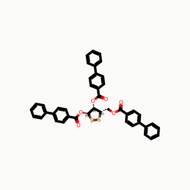 O=C(OC[C@@H]1SS[C@@H](OC(=O)c2ccc(-c3ccccc3)cc2)[C@@H]1OC(=O)c1ccc(-c2ccccc2)cc1)c1ccc(-c2ccccc2)cc1